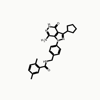 Cc1ccc(C)c(C(=O)NCc2ccc(-n3nc(C4CCCC4)c4c(=O)[nH]nc(N)c43)cc2)c1